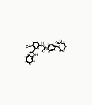 O=C(Nc1ccc(Cl)c(-c2nc3ccccc3[nH]2)c1)c1ccc(N2COCCS2(=O)=O)cc1